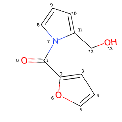 O=C(c1ccco1)n1cccc1CO